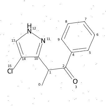 CC(C(=O)c1ccccc1)c1n[nH]cc1Cl